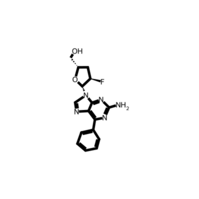 Nc1nc(-c2ccccc2)c2ncn([C@@H]3O[C@H](CO)C[C@H]3F)c2n1